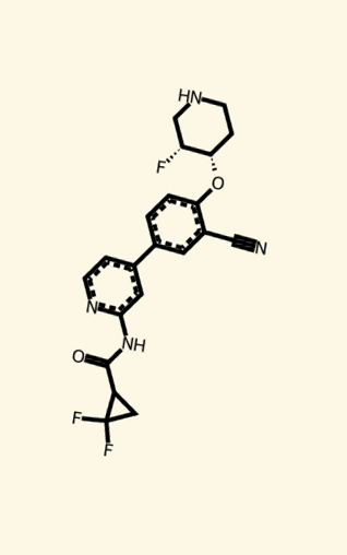 N#Cc1cc(-c2ccnc(NC(=O)C3CC3(F)F)c2)ccc1O[C@H]1CCNC[C@H]1F